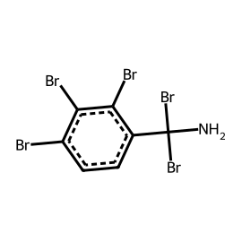 NC(Br)(Br)c1ccc(Br)c(Br)c1Br